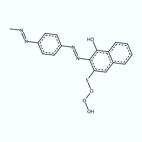 CN=Nc1ccc(N=Nc2c(SOOO)cc3ccccc3c2O)cc1